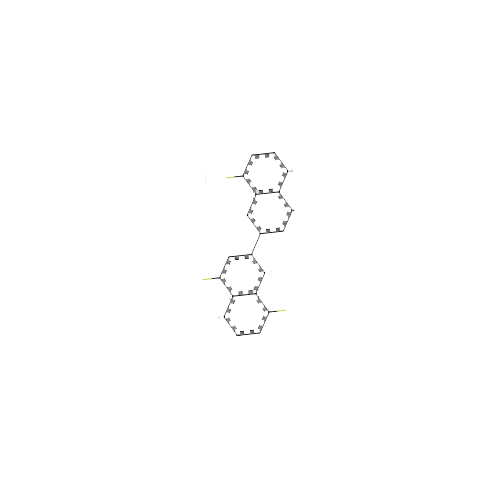 Sc1cccc2ccc(-c3cc(S)c4cccc(S)c4c3)cc12